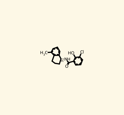 Cc1cccc2c1CCC[C@H]2NC(=O)c1cccc(Cl)c1O